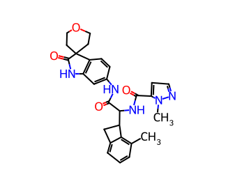 Cc1cccc2c1C(C(NC(=O)c1ccnn1C)C(=O)Nc1ccc3c(c1)NC(=O)C31CCOCC1)C2